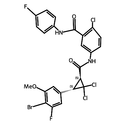 COc1cc([C@@H]2[C@@H](C(=O)Nc3ccc(Cl)c(C(=O)Nc4ccc(F)cc4)c3)C2(Cl)Cl)cc(F)c1Br